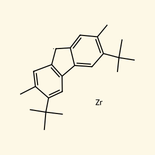 Cc1cc2c(cc1C(C)(C)C)-c1cc(C(C)(C)C)c(C)cc1[CH]2.[Zr]